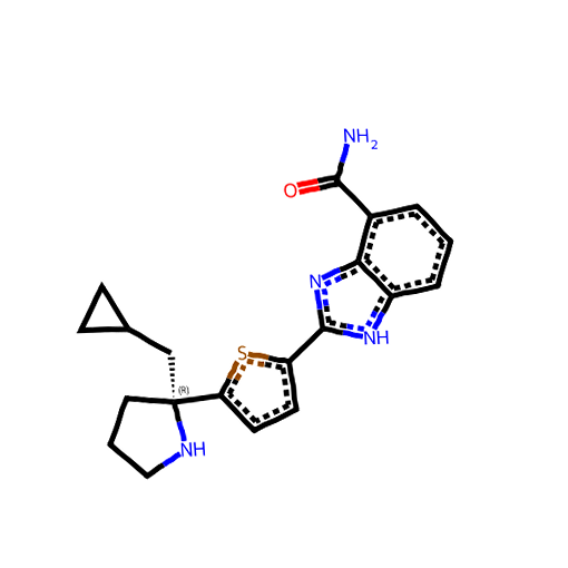 NC(=O)c1cccc2[nH]c(-c3ccc([C@]4(CC5CC5)CCCN4)s3)nc12